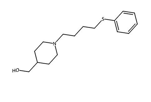 OCC1CCN(CCCCSc2ccccc2)CC1